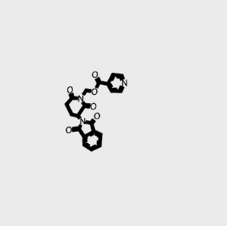 O=C(OCN1C(=O)CCC(N2C(=O)c3ccccc3C2=O)C1=O)c1ccncc1